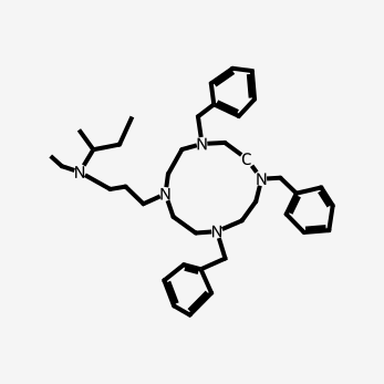 CCC(C)N(CC)CCCN1CCN(Cc2ccccc2)CCN(Cc2ccccc2)CCN(Cc2ccccc2)CC1